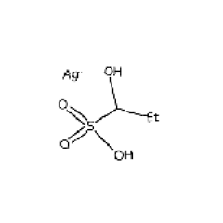 CCC(O)S(=O)(=O)O.[Ag]